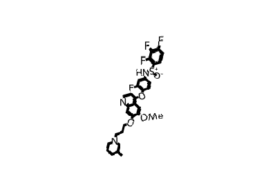 COc1cc2c(Oc3ccc(N[S+]([O-])c4ccc(F)c(F)c4F)cc3F)ccnc2cc1OCCCN1CCCC(C)C1